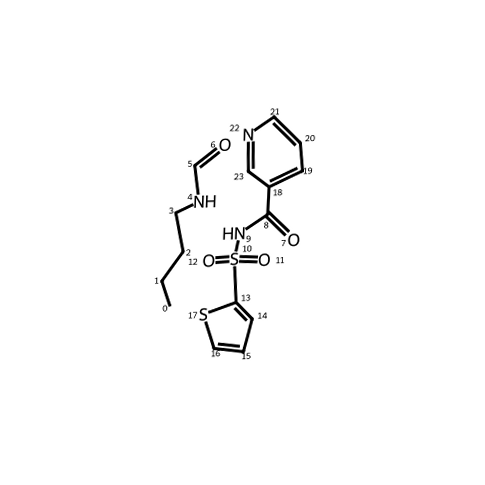 CCCCNC=O.O=C(NS(=O)(=O)c1cccs1)c1cccnc1